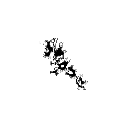 C[C@@H]1CN(C2CCN(c3ccc(Nc4ncc(Cl)c(Nc5ccsc5C(N)=O)n4)c(OC(F)F)c3)CC2)C[C@@H](C)N1C